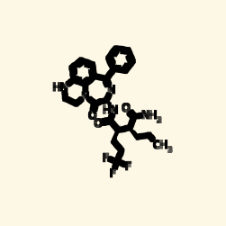 CCC[C@H](C(N)=O)[C@@H](CCC(F)(F)F)C(=O)N[C@H]1N=C(c2ccccc2)c2cccc3c2N(CCN3)C1=O